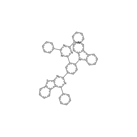 c1ccc(-c2nc(-c3ccccc3)nc(-c3cc(-c4nc(-c5ccccc5)c5c(n4)sc4ccccc45)ccc3-n3c4ccccc4c4ccccc43)n2)cc1